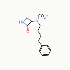 O=C1NCC1N(CCCCc1ccccc1)C(=O)O